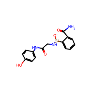 NC(=O)c1ccccc1[S+]([O-])NCC(=O)Nc1ccc(O)cc1